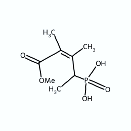 COC(=O)C(C)=C(C)C(C)P(=O)(O)O